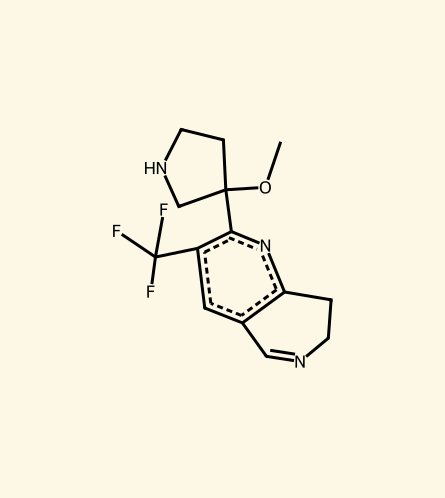 COC1(c2nc3c(cc2C(F)(F)F)C=NCC3)CCNC1